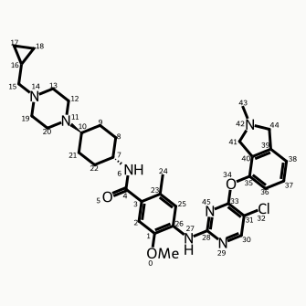 COc1cc(C(=O)N[C@H]2CC[C@H](N3CCN(CC4CC4)CC3)CC2)c(C)cc1Nc1ncc(Cl)c(Oc2cccc3c2CN(C)C3)n1